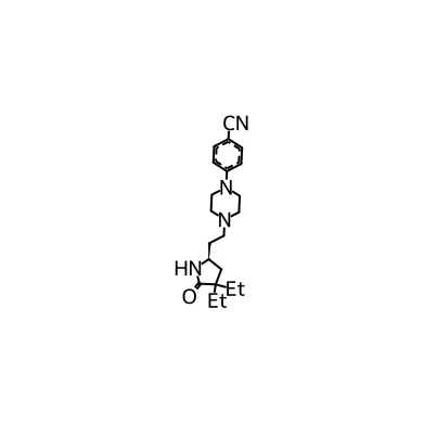 CCC1(CC)C[C@H](CCN2CCN(c3ccc(C#N)cc3)CC2)NC1=O